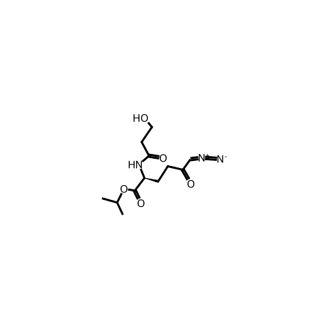 CC(C)OC(=O)[C@H](CCC(=O)C=[N+]=[N-])NC(=O)CCO